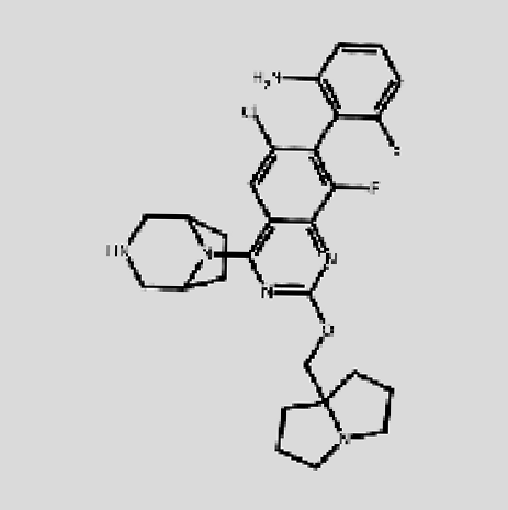 Nc1cccc(F)c1-c1c(Cl)cc2c(N3C4CCC3CNC4)nc(OCC34CCCN3CCC4)nc2c1F